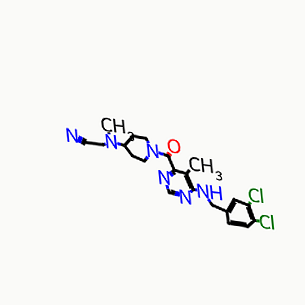 Cc1c(NCc2ccc(Cl)c(Cl)c2)ncnc1C(=O)N1CCC(N(C)CC#N)CC1